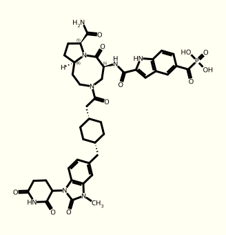 Cn1c(=O)n(C2CCC(=O)NC2=O)c2ccc(C[C@H]3CC[C@@H](CC(=O)N4CC[C@H]5CC[C@@H](C(N)=O)N5C(=O)[C@@H](NC(=O)c5cc6cc(C(=O)P(=O)(O)O)ccc6[nH]5)C4)CC3)cc21